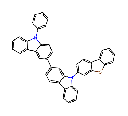 c1ccc(-n2c3ccccc3c3cc(-c4ccc5c6ccccc6n(-c6ccc7c(c6)sc6ccccc67)c5c4)ccc32)cc1